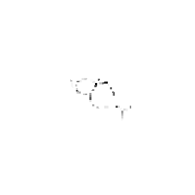 CC(C)N1CCC2CNCC2(C)CC1